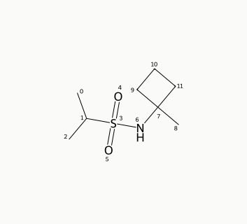 CC(C)S(=O)(=O)NC1(C)CCC1